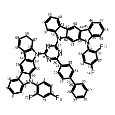 Fc1ccc(-n2c3ccccc3c3cc4c5c(n(-c6nc(-c7ccc(-c8ccccc8)cc7)nc(-n7c8ccccc8c8cc9c%10ccccc%10n(-c%10ccc(F)cc%10F)c9cc87)n6)c4cc32)CCC=C5)c(F)c1